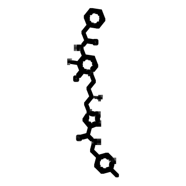 Cc1ccc(CNC(=O)c2cn(C[C@@H](F)CCn3ccc(NC(=O)Cc4ccccc4)c(F)c3=O)nn2)cn1